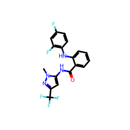 Cn1nc(C(F)(F)F)cc1NC(=O)c1ccccc1Nc1ccc(F)cc1F